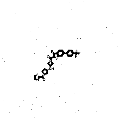 O=C(c1nccs1)N1CC[C@H](NC2CN(C(=O)c3sc4cc(-c5ccc(C(F)(F)F)cc5)ccc4c3F)C2)C1